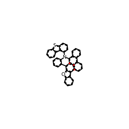 c1ccc(N(c2cc3ccccc3c3ccccc23)c2cccc3sc4ccccc4c23)c(-c2cccc3c2oc2ccccc23)c1